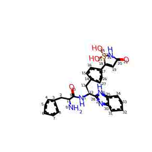 N[C@@H](Cc1ccccc1)C(=O)N[C@@H](Cc1ccc(C2=CC(=O)NS2(O)O)cc1)c1nc2ccccc2[nH]1